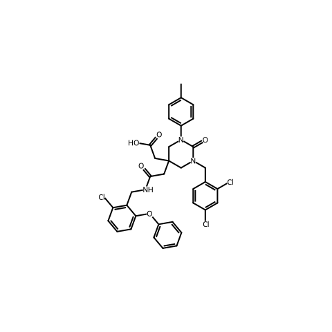 Cc1ccc(N2CC(CC(=O)O)(CC(=O)NCc3c(Cl)cccc3Oc3ccccc3)CN(Cc3ccc(Cl)cc3Cl)C2=O)cc1